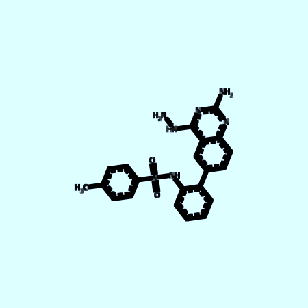 Cc1ccc(S(=O)(=O)Nc2ccccc2-c2ccc3nc(N)nc(NN)c3c2)cc1